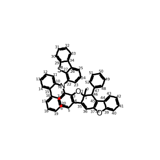 CC12Oc3c(cccc3N(c3ccccc3-c3ccccc3)c3cccc4c3sc3ccccc34)C1=Cc1oc3ccccc3c1C2c1ccccc1